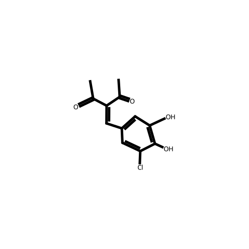 CC(=O)C(=Cc1cc(O)c(O)c(Cl)c1)C(C)=O